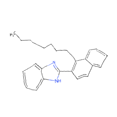 CCCCCCCc1c(-c2nc3ccccc3[nH]2)ccc2ccccc12